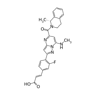 CNc1cc(C(=O)N2CCc3ccccc3[C@H]2C)nc2cc(-c3ccc(/C=C/C(=O)O)cc3F)nn12